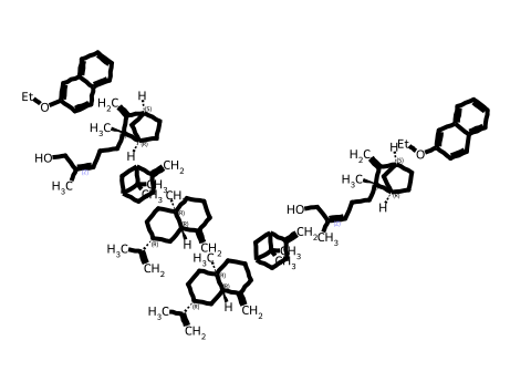 C=C(C)[C@@H]1CC[C@@]2(C)CCCC(=C)[C@@H]2C1.C=C(C)[C@@H]1CC[C@@]2(C)CCCC(=C)[C@@H]2C1.C=C1CCC2CC1C2(C)C.C=C1CCC2CC1C2(C)C.C=C1[C@H]2CC[C@H](C2)[C@]1(C)CC/C=C(/C)CO.C=C1[C@H]2CC[C@H](C2)[C@]1(C)CC/C=C(/C)CO.CCOc1ccc2ccccc2c1.CCOc1ccc2ccccc2c1